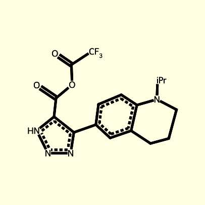 CC(C)N1CCCc2cc(-c3nn[nH]c3C(=O)OC(=O)C(F)(F)F)ccc21